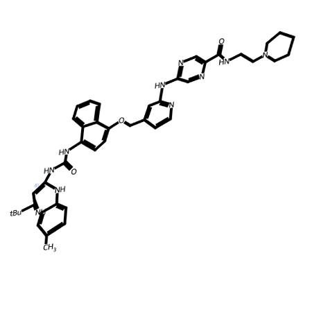 Cc1ccc(N/C(=C\C(=N)C(C)(C)C)NC(=O)Nc2ccc(OCc3ccnc(Nc4cnc(C(=O)NCCN5CCCCC5)cn4)c3)c3ccccc23)cc1